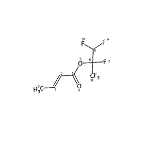 CC=CC(=O)OC(F)(C(F)F)C(F)(F)F